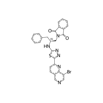 O=C1c2ccccc2C(=O)N1C[C@H](Cc1ccccc1)Nc1nnc(-c2ccc3cncc(Br)c3n2)s1